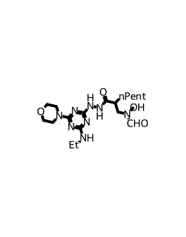 CCCCCC(CN(O)C=O)C(=O)NNc1nc(NCC)nc(N2CCOCC2)n1